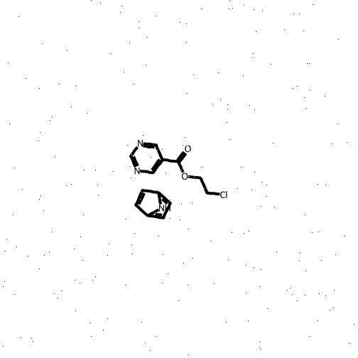 O=C(OCCCl)c1cncnc1.c1cc2ccc1[nH]2